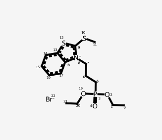 CCOP(=O)(CCC[n+]1c(SC)sc2ccccc21)OCC.[Br-]